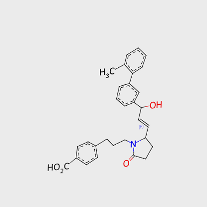 Cc1ccccc1-c1cccc(C(O)/C=C/C2CCC(=O)N2CCCc2ccc(C(=O)O)cc2)c1